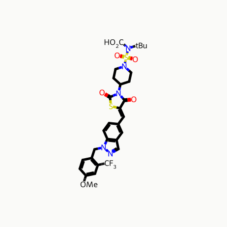 COc1ccc(Cn2ncc3cc(/C=C4\SC(=O)N(C5CCN(S(=O)(=O)N(C(=O)O)C(C)(C)C)CC5)C4=O)ccc32)c(C(F)(F)F)c1